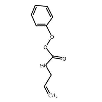 C=CCNC(=O)OOc1ccccc1